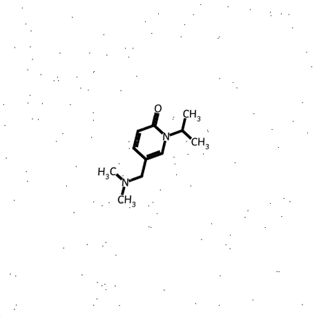 CC(C)n1cc(CN(C)C)ccc1=O